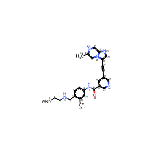 CNCCNCc1ccc(NC(=O)c2cncc(C#Cc3cnc4cnc(C)cn34)c2)cc1C(F)(F)F